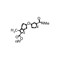 CCCOC(=O)c1sc2cc(Oc3ccnc(C(=O)NC)c3)ccc2c1C